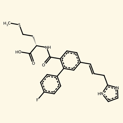 CSCC[C@H](NC(=O)c1ccc(/C=C/Cc2ncc[nH]2)cc1-c1ccc(F)cc1)C(=O)O